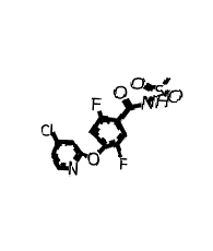 CS(=O)(=O)NC(=O)c1cc(F)c(Oc2cc(Cl)ccn2)cc1F